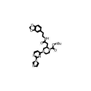 CCCCOC(=O)N1CCN(c2ccnc(-n3ccnc3)n2)CC1CC(=O)NCCc1ccc2c(c1)OCO2